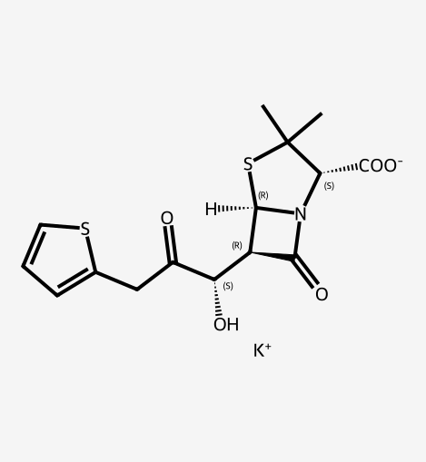 CC1(C)S[C@@H]2[C@H]([C@H](O)C(=O)Cc3cccs3)C(=O)N2[C@H]1C(=O)[O-].[K+]